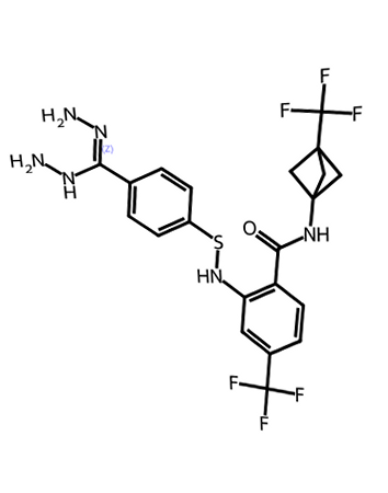 N/N=C(\NN)c1ccc(SNc2cc(C(F)(F)F)ccc2C(=O)NC23CC(C(F)(F)F)(C2)C3)cc1